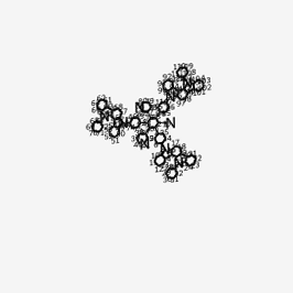 N#Cc1c(-c2ccc(-n3c4ccccc4c4c3ccc3c5ccccc5n(-c5ccccc5)c34)cc2)c(-c2cccnc2)c(-c2ccc(-n3c4ccccc4c4c3ccc3c5ccccc5n(-c5ccccc5)c34)cc2)c(-c2cccnc2)c1-c1ccc(-n2c3ccccc3c3c2ccc2c4ccccc4n(-c4ccccc4)c23)cc1